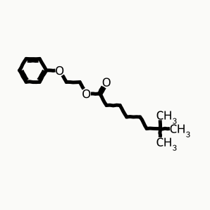 CC(C)(C)CCCCCC(=O)OCCOc1ccccc1